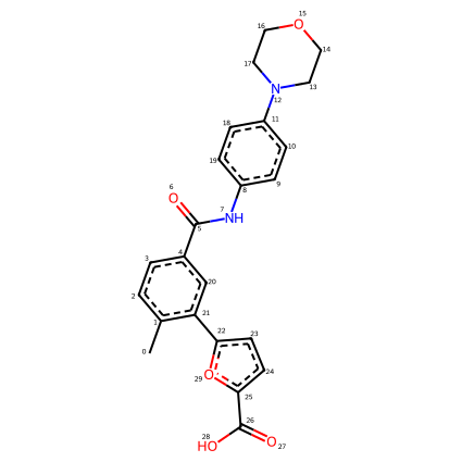 Cc1ccc(C(=O)Nc2ccc(N3CCOCC3)cc2)cc1-c1ccc(C(=O)O)o1